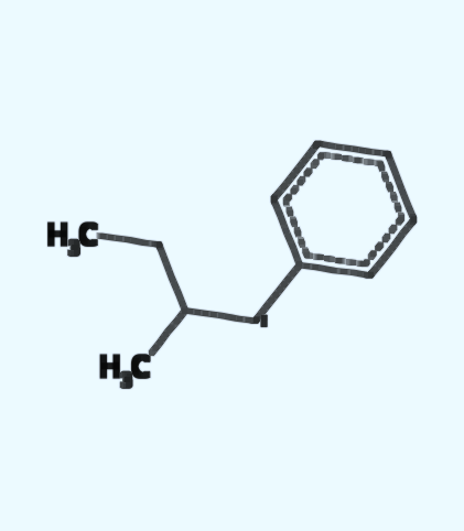 CCC(C)[C]c1ccccc1